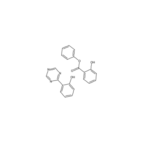 O=C(Oc1ccccc1)c1ccccc1O.Oc1ccccc1-c1ncncn1